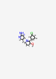 COc1ccc(Cc2ccc(N)nc2)nc1-c1cccc(Cl)c1